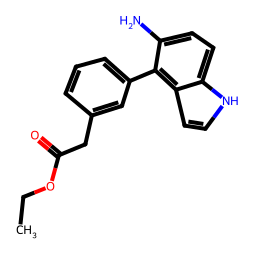 CCOC(=O)Cc1cccc(-c2c(N)ccc3[nH]ccc23)c1